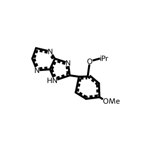 COc1ccc(-c2nc3nccnc3[nH]2)c(OC(C)C)c1